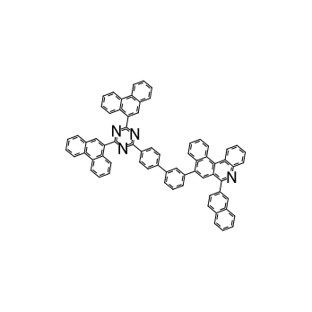 c1cc(-c2ccc(-c3nc(-c4cc5ccccc5c5ccccc45)nc(-c4cc5ccccc5c5ccccc45)n3)cc2)cc(-c2cc3c(-c4ccc5ccccc5c4)nc4ccccc4c3c3ccccc23)c1